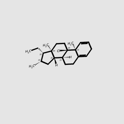 CC[C@H]1[C@@H](C)C[C@H]2[C@@H]3CCC4=CCC=C[C@]4(C)[C@@]3(Cl)CC[C@]12C